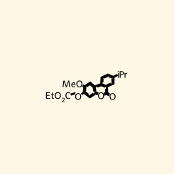 CCOC(=O)COc1cc2oc(=O)c3cc(C(C)C)ccc3c2cc1OC